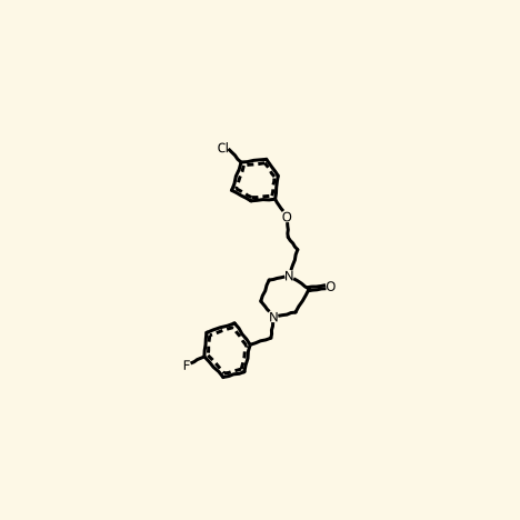 O=C1CN(Cc2ccc(F)cc2)CCN1CCOc1ccc(Cl)cc1